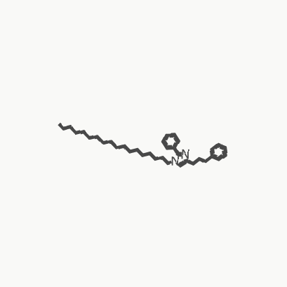 CCCCCCCCCCCCCCCCCCn1cc(CCCc2ccccc2)nc1-c1ccccc1